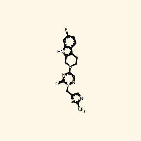 O=c1nc(N2CCc3c([nH]c4cc(F)ccc34)C2)cnn1Cc1cnc(C(F)(F)F)s1